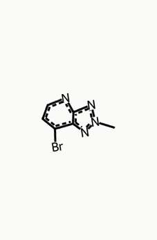 Cn1nc2nccc(Br)c2n1